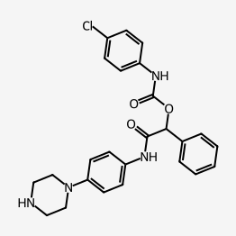 O=C(Nc1ccc(Cl)cc1)OC(C(=O)Nc1ccc(N2CCNCC2)cc1)c1ccccc1